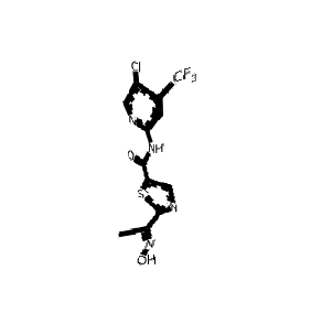 CC(=NO)c1ncc(C(=O)Nc2cc(C(F)(F)F)c(Cl)cn2)s1